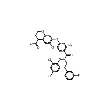 O=C([O-])C1CCOc2cc(Oc3ccc(C(=O)N(CCc4cccc(F)c4)Oc4ccc(Cl)cc4Cl)cc3)c(Cl)cc21.[Na+]